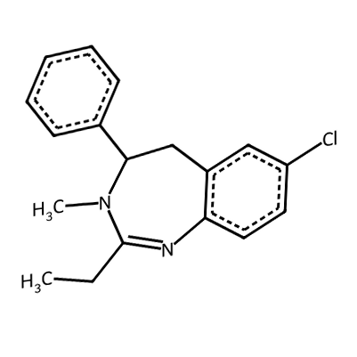 CCC1=Nc2ccc(Cl)cc2CC(c2ccccc2)N1C